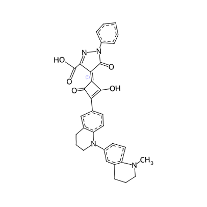 CN1CCCc2cc(N3CCCc4cc(C5=C(O)/C(=C6\C(=O)N(c7ccccc7)N=C6C(=O)O)C5=O)ccc43)ccc21